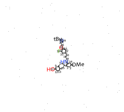 COc1ccc(C2CCc3cc(O)ccc3C2)c(NCCCc2ccc(OCCN(C)C(C)(C)C)c(F)c2)c1